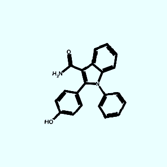 NC(=O)c1c(-c2ccc(O)cc2)n(-c2ccccc2)c2ccccc12